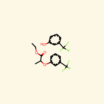 CCOC(=O)C(C)Oc1cccc(C(F)(F)F)c1.Oc1cccc(C(F)(F)F)c1